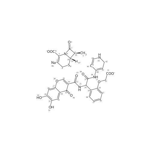 C[C@@H]1C(=O)N2C(C(=O)[O-])=CCS[C@@H]12.O=C([O-])COc1ccccc1C(NC(=O)c1coc2cc(O)c(O)cc2c1=O)C(=O)NC1=CCNC=[C+]1.[Na+]